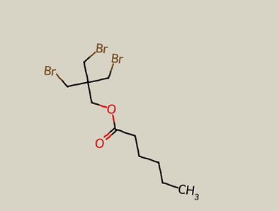 CCCCCC(=O)OCC(CBr)(CBr)CBr